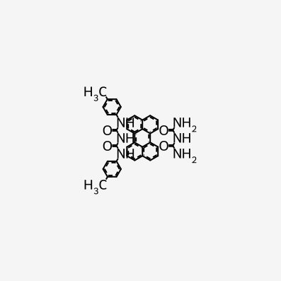 Cc1ccc(NC(=O)NC(=O)Nc2ccc(C)cc2)cc1.NC(=O)NC(N)=O.c1cc2cccc3c4cccc5cccc(c(c1)c23)c54